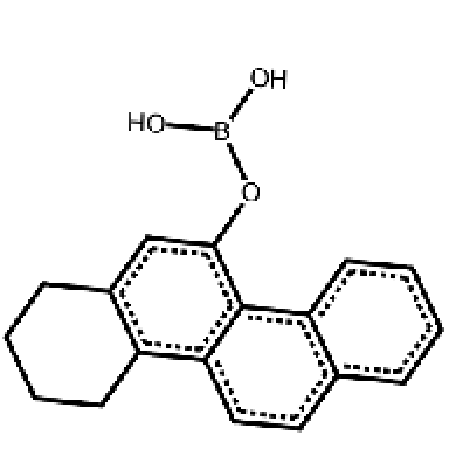 OB(O)Oc1cc2c(c3ccc4ccccc4c13)CCCC2